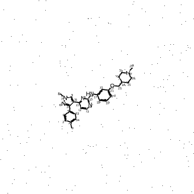 Cc1ccc(-c2nn(C)cc2-c2ccnc(Nc3cccc(OCC4CCN(C)CC4)c3)n2)cc1